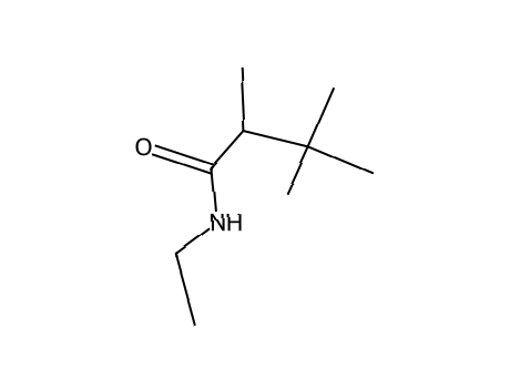 CCNC(=O)C(C)C(C)(C)C